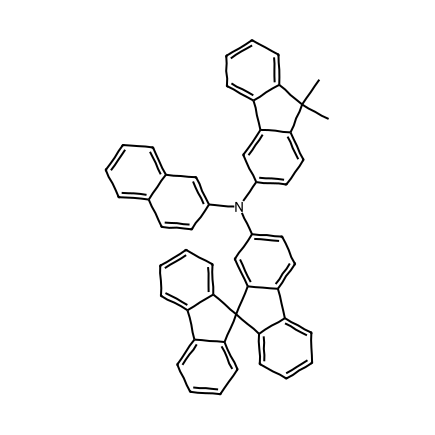 CC1(C)c2ccccc2-c2cc(N(c3ccc4c(c3)C3(c5ccccc5-c5ccccc53)c3ccccc3-4)c3ccc4ccccc4c3)ccc21